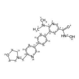 CN(C)c1ncc(C(=O)NO)cc1-c1ccc(-c2ccc(CN3CCOCC3)nc2)cc1